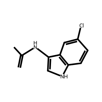 C=C(C)Nc1c[nH]c2ccc(Cl)cc12